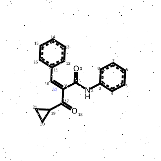 O=C(Nc1ccccc1)/C(=C\c1ccccc1)C(=O)C1CC1